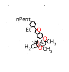 C=CC(=O)OC(C)(C)CC(C)(C)Oc1ccc2cc(-c3ccc(CCCCC)cc3CC)oc2c1